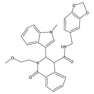 COCCN1C(=O)c2ccccc2C(C(=O)NCc2ccc3c(c2)OCO3)C1c1cn(C)c2ccccc12